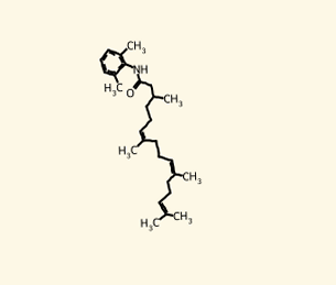 CC(C)=CCCC(C)=CCCC(C)=CCCC(C)CC(=O)Nc1c(C)cccc1C